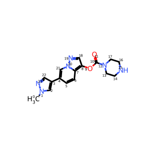 Cn1cc(-c2ccc3c(OC(=O)N4CCNCC4)cnn3c2)cn1